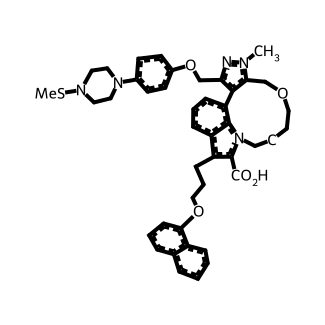 CSN1CCN(c2ccc(OCc3nn(C)c4c3-c3cccc5c(CCCOc6cccc7ccccc67)c(C(=O)O)n(c35)CCCCOC4)cc2)CC1